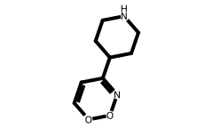 C1=CC(C2CCNCC2)=NOO1